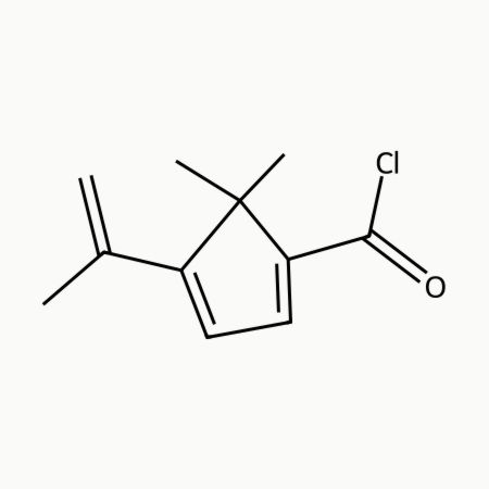 C=C(C)C1=CC=C(C(=O)Cl)C1(C)C